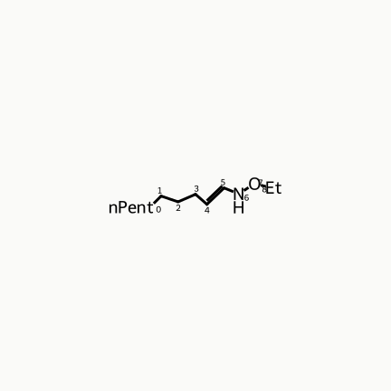 CCCCCCCCC=CNOCC